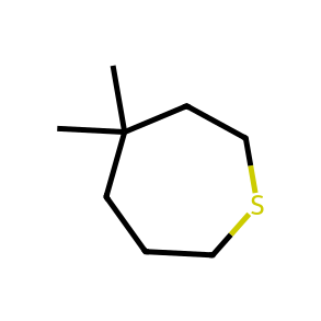 CC1(C)CCCSCC1